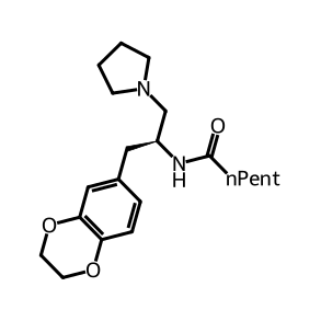 CCCCCC(=O)N[C@@H](Cc1ccc2c(c1)OCCO2)CN1CCCC1